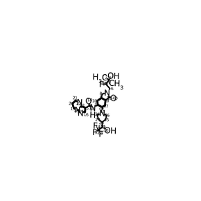 CC(C)(O)[C@H](F)CN1Cc2cc(NC(=O)c3cnn4cccnc34)c(N3CCC([C@H](O)C(F)(F)F)CC3)cc2C1=O